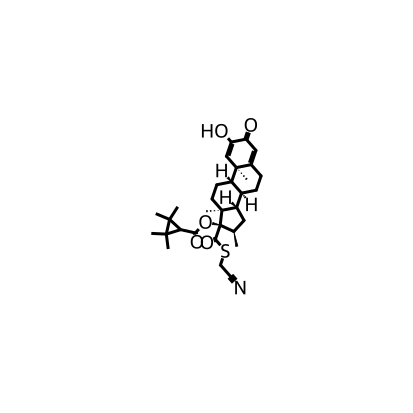 C[C@@H]1C[C@H]2[C@@H]3CCC4=CC(=O)C(O)=C[C@]4(C)[C@H]3CC[C@]2(C)[C@@]1(OC(=O)C1C(C)(C)C1(C)C)C(=O)SCC#N